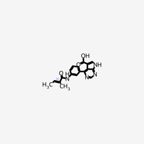 C/C=C(\C)C(=O)Nc1cccc(-c2ncnc3[nH]cc(C(=O)O)c23)c1